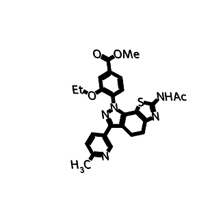 CCOc1cc(C(=O)OC)ccc1-n1nc(-c2ccc(C)nc2)c2c1-c1sc(NC(C)=O)nc1CC2